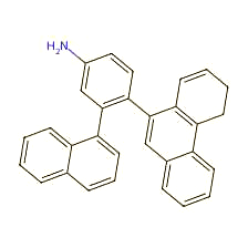 Nc1ccc(-c2cc3ccccc3c3c2C=CCC3)c(-c2cccc3ccccc23)c1